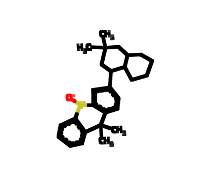 CC1(C)CC2CCCCC2C(c2ccc3c(c2)[S+]([O-])c2ccccc2C3(C)C)C1